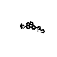 CC1(C)OB(c2ccc(-c3ccc(-c4cnc([C@H]5CCCS5)[nH]4)cc3)c3c2CCC32CCCC2)OC1(C)C